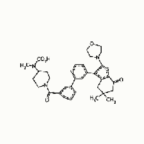 CN(C(=O)O)C1CCN(C(=O)c2cccc(-c3cc(-c4c(N5CCOCC5)sc5c4CC(C)(C)CC5=O)ccn3)c2)CC1